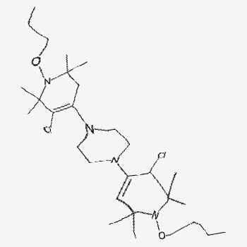 CCCON1C(C)(C)CC(N2CCN(C3=CC(C)(C)N(OCCC)C(C)(C)C3Cl)CC2)=C(Cl)C1(C)C